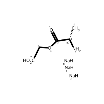 C[C@H](N)C(=O)OCC(=O)O.[NaH].[NaH].[NaH]